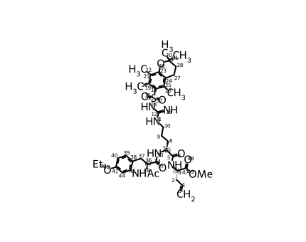 C=CC[C@H](NC(=O)[C@H](CCCNC(=N)NS(=O)(=O)c1c(C)c(C)c2c(c1C)CCC(C)(C)O2)NC(=O)[C@H](Cc1ccc(OCC)cc1)NC(C)=O)C(=O)OC